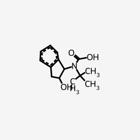 CC(C)(C)N(C(=O)O)C1c2ccccc2CC1O